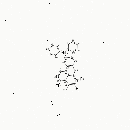 Fc1c(F)c(F)c2c(-c3ccc4c5ccccc5n(-c5ccccc5)c4c3)nnc(Cl)c2c1F